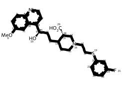 COc1ccc2nccc([C@H](O)CCC3CCN(CCSc4cccc(F)c4)C[C@H]3C(=O)O)c2c1